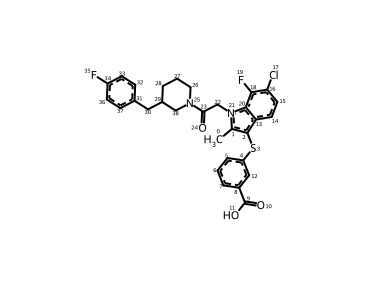 Cc1c(Sc2cccc(C(=O)O)c2)c2ccc(Cl)c(F)c2n1CC(=O)N1CCCC(Cc2ccc(F)cc2)C1